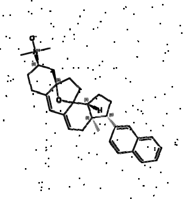 C[C@]12CC=C3C=C4CC[C@@H]([N+](C)(C)[O-])C[C@]45CCC3(O5)[C@@H]1CC[C@@H]2c1ccc2ccccc2c1